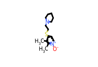 Cc1c(SCCN2CCCCC2)cc[n+]([O-])c1C